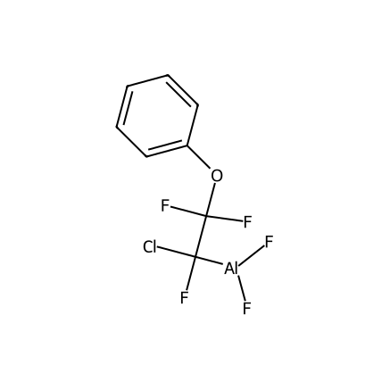 [F][Al]([F])[C](F)(Cl)C(F)(F)Oc1ccccc1